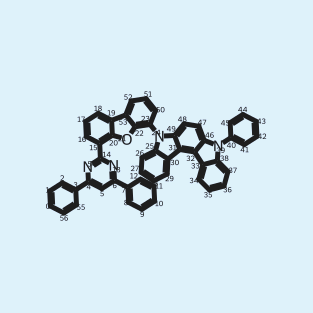 c1ccc(-c2cc(-c3ccccc3)nc(-c3cccc4c3oc3c(-n5c6ccccc6c6c7c8ccccc8n(-c8ccccc8)c7ccc65)cccc34)n2)cc1